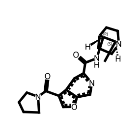 C[C@H]1[C@H](NC(=O)c2cc3c(C(=O)N4CCCC4)coc3cn2)C2CCN1CC2